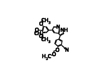 COCOc1ccc(-c2c[nH]c3ncc(-c4cc(OC)c(OC)c(OC)c4)cc23)cc1C#N